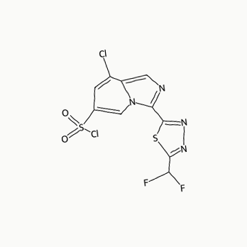 O=S(=O)(Cl)c1cc(Cl)c2cnc(-c3nnc(C(F)F)s3)n2c1